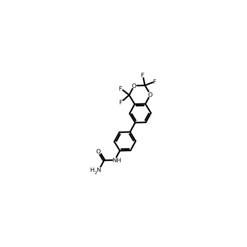 NC(=O)Nc1ccc(-c2ccc3c(c2)C(F)(F)OC(F)(F)O3)cc1